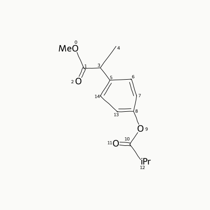 COC(=O)C(C)c1ccc(OC(=O)C(C)C)cc1